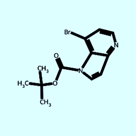 CC(C)(C)OC(=O)n1ccc2nccc(Br)c21